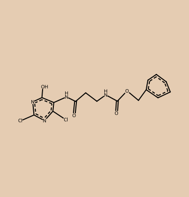 O=C(CCNC(=O)OCc1ccccc1)Nc1c(O)nc(Cl)nc1Cl